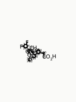 C[C@H]1[C@@H](c2cc(F)cc(F)c2)OC(=O)N1Cc1nc(N2CCC2)ccc1-c1cc([C@@H]2C[C@H]2C(=O)O)ccc1O